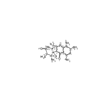 Bc1cc(N)c2c(=O)n(C3(B)C(=O)NC(=O)C(B)C3B)c(C)nc2c1B